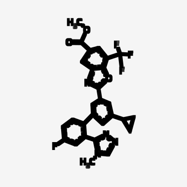 COC(=O)c1cc(C(F)(F)F)c2oc(-c3cc(-c4ccc(F)cc4-c4nncn4C)cc(C4CC4)c3)nc2c1